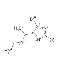 CCNC(C)c1nn(C)nc1Br